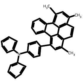 Cc1cc(C)c2c3ccccc3c3c(-c4ccc(N(c5ccccc5)c5ccccc5)cc4)cc(C)c4ccc1c2c43